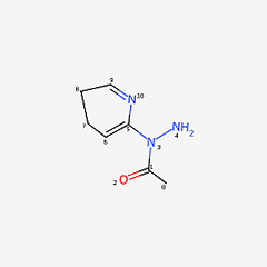 CC(=O)N(N)C1=CCCC=N1